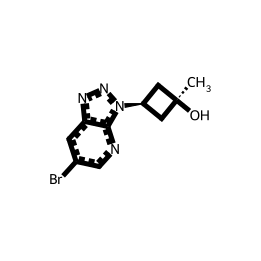 C[C@]1(O)C[C@@H](n2nnc3cc(Br)cnc32)C1